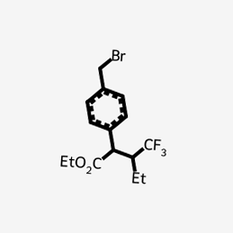 CCOC(=O)C(c1ccc(CBr)cc1)C(CC)C(F)(F)F